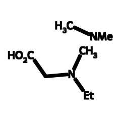 CCN(C)CC(=O)O.CNC